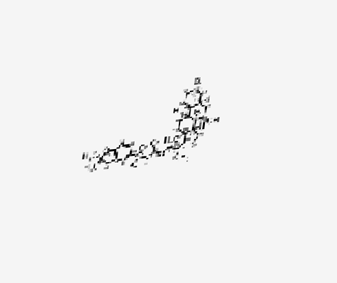 C[C@H](COC(=O)NS(=O)(=O)c1ccc2c(c1)CC(C)(C)O2)[C@H]1CC[C@H]2[C@@H]3[C@H](O)C[C@@H]4C[C@@H](O)CC[C@]4(C)[C@H]3CC[C@]12C